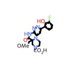 COCC12CN(C(=O)O)CCN1c1cc(-c3cccc(F)c3O)nnc1NC2=O